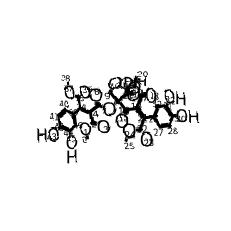 COC(=O)C(C(=O)OC(CO)(C(=O)O)C(=O)C(C(=O)OC)=C(C(=O)OC)c1ccc(O)c(O)c1)=C(C(=O)OC)c1ccc(O)c(O)c1